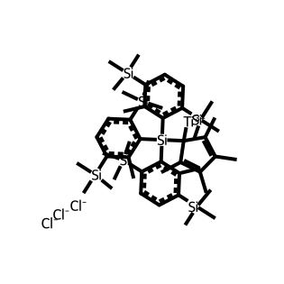 CC1=C(C)[C]([Ti+3])([Si](c2c([Si](C)(C)C)ccc([Si](C)(C)C)c2C)(c2c([Si](C)(C)C)ccc([Si](C)(C)C)c2C)c2c([Si](C)(C)C)ccc([Si](C)(C)C)c2C)C(C)=C1C.[Cl-].[Cl-].[Cl-]